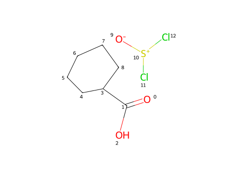 O=C(O)C1CCCCC1.[O-][S+](Cl)Cl